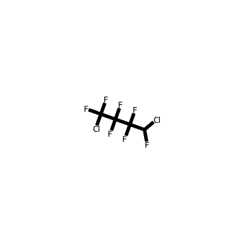 FC(Cl)C(F)(F)C(F)(F)C(F)(F)Cl